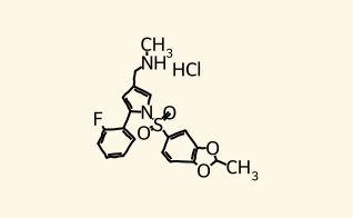 CNCc1cc(-c2ccccc2F)n(S(=O)(=O)c2ccc3c(c2)OC(C)O3)c1.Cl